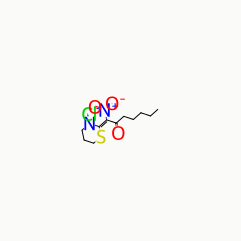 CCCCCC(=O)C(=C1SCCCN1Cl)[N+](=O)[O-]